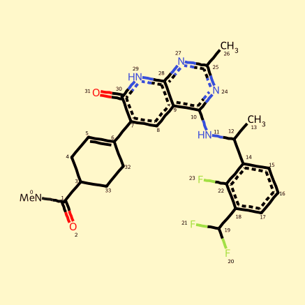 CNC(=O)C1CC=C(c2cc3c(NC(C)c4cccc(C(F)F)c4F)nc(C)nc3[nH]c2=O)CC1